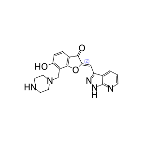 O=C1/C(=C/c2n[nH]c3ncccc23)Oc2c1ccc(O)c2CN1CCNCC1